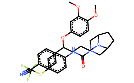 COc1ccc(OC(CCCN2C3CCC2CN(C(=O)Nc2ccc(SC(F)(F)F)cc2)C3)c2ccc(C#N)cc2)cc1OC